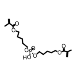 C=C(C)C(=O)OCCCCCOP(=O)(O)OCCCCCOC(=O)C(=C)C